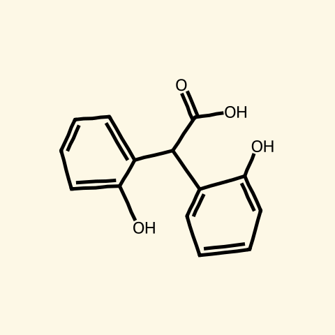 O=C(O)C(c1ccccc1O)c1ccccc1O